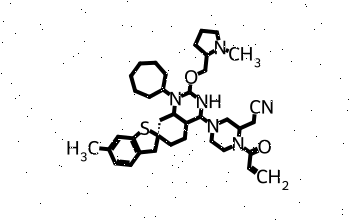 C=CC(=O)N1CCN(C2NC(OCC3CCCN3C)N(C3CCCCCC3)C3C[C@]4(CCC23)Cc2ccc(C)cc2S4)CC1CC#N